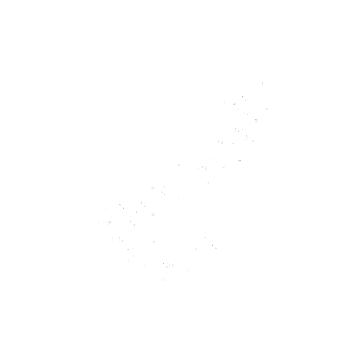 CNC(=O)COc1cc2cc(Nc3nc(N4CCN(C(C)(C)C5CCN(c6ccc7c(c6)CN(C6CCC(=O)NC6=O)C7=O)CC5)CC4)ncc3Cl)ccc2n(C)c1=O